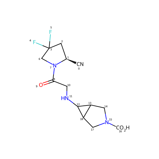 N#C[C@@H]1CC(F)(F)CN1C(=O)CNC1C2CN(C(=O)O)CC21